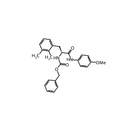 COc1ccc(NC(=O)[C@H](Cc2cccc(C)c2C)NC(=O)OCc2ccccc2)cc1